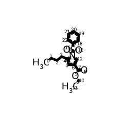 CCCCc1cc(C(=O)OCC)cn1S(=O)(=O)c1ccccc1